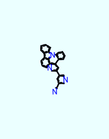 N#Cc1cncc(-c2cncc(-c3ccccc3-n3c4ccccc4c4ccccc43)c2)c1